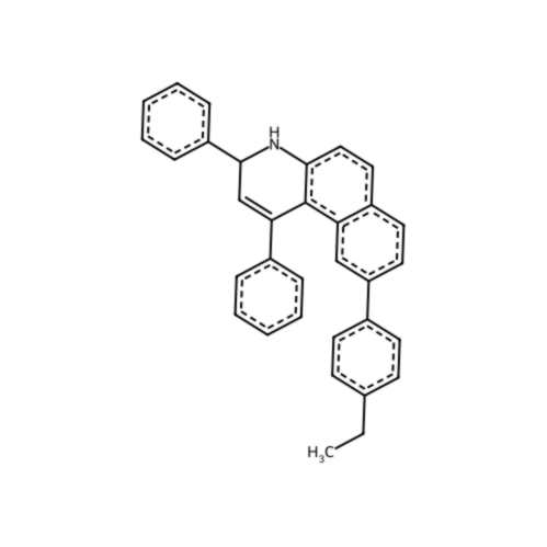 CCc1ccc(-c2ccc3ccc4c(c3c2)C(c2ccccc2)=CC(c2ccccc2)N4)cc1